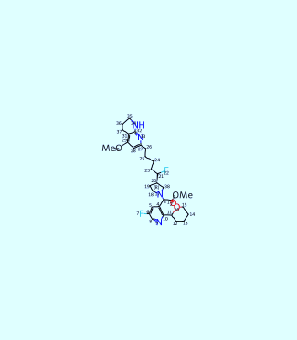 COC(=O)C(c1cc(F)cnc1C1CCCCO1)N1CC[C@@H](C(F)CCCCc2cc(OC)c3c(n2)NCCC3)C1